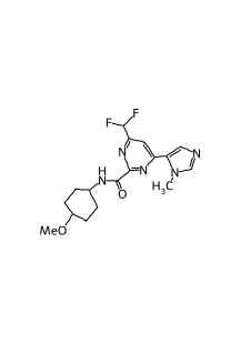 COC1CCC(NC(=O)c2nc(-c3cncn3C)cc(C(F)F)n2)CC1